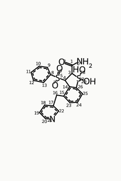 NC(=O)C1C(S(=O)(=O)c2ccccc2)c2c(Cc3cccnc3)cccc2S1(O)O